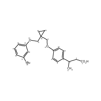 CC(CC(=O)O)c1ccc(OCC2(COc3cccc(C(C)(C)C)c3)CC2)cc1